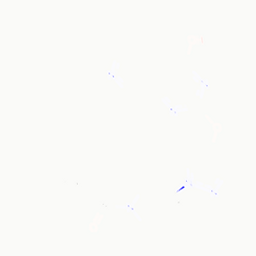 CCCCCC(=O)N1CC[C@H](n2cc(Oc3nc(O)c4ccncc4n3)cn2)C1